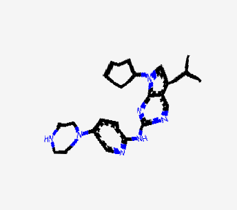 CC(C)c1cn(C2CCCC2)c2nc(Nc3ccc(N4CCNCC4)cn3)ncc12